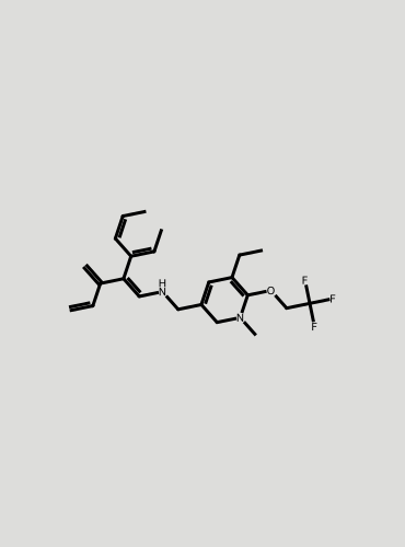 C=CC(=C)/C(=C/NCC1=CC(CC)=C(OCC(F)(F)F)N(C)C1)C(=CC)/C=C\C